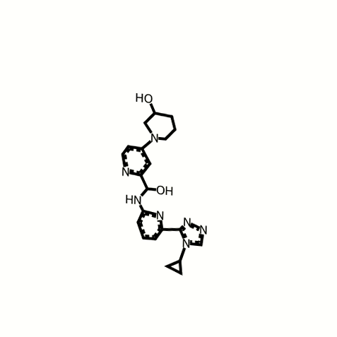 OC1CCCN(c2ccnc(C(O)Nc3cccc(-c4nncn4C4CC4)n3)c2)C1